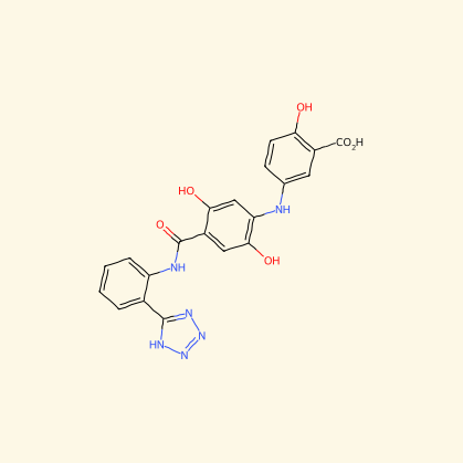 O=C(O)c1cc(Nc2cc(O)c(C(=O)Nc3ccccc3-c3nnn[nH]3)cc2O)ccc1O